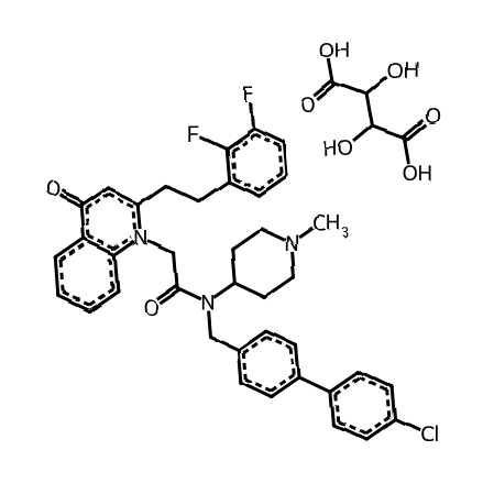 CN1CCC(N(Cc2ccc(-c3ccc(Cl)cc3)cc2)C(=O)Cn2c(CCc3cccc(F)c3F)cc(=O)c3ccccc32)CC1.O=C(O)C(O)C(O)C(=O)O